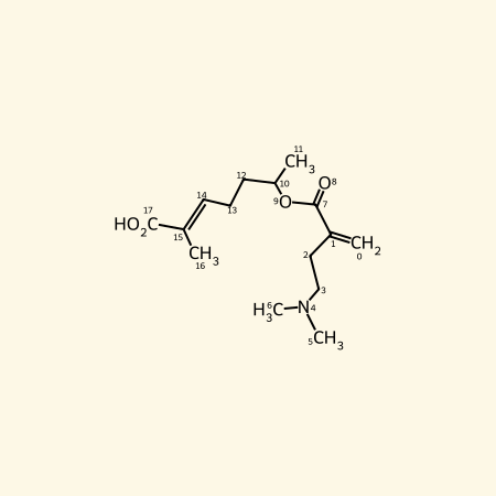 C=C(CCN(C)C)C(=O)OC(C)CCC=C(C)C(=O)O